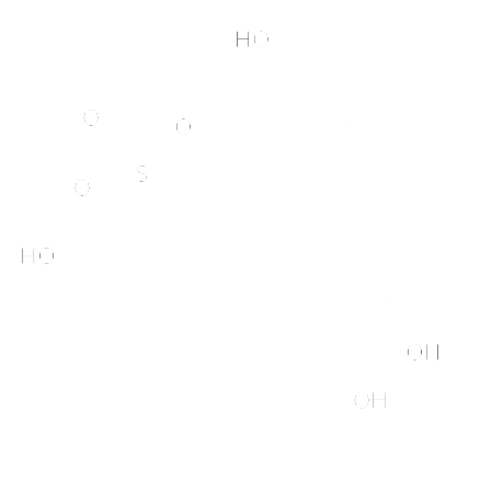 O=S1(=O)Oc2c(O)c3c4c(cc(O)c5c6c(O)cc7c8c(c(O)c1c(c2c45)c86)CCC7)CCC3